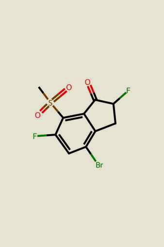 CS(=O)(=O)c1c(F)cc(Br)c2c1C(=O)C(F)C2